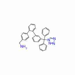 NCc1ccc(-c2ccccc2-c2cccc(C(c3ccccc3)(c3ccccc3)n3cnnn3)c2)cc1